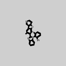 Cc1cc2c(cc1-c1nc3ccccc3n1-c1c(C(C)C)cccc1C(C)C)oc1ccncc12